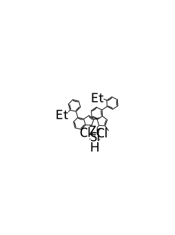 CCc1ccccc1-c1cccc2c1C=C(C)[CH]2[Zr]([Cl])([Cl])([CH]1C(C)=Cc2c(-c3ccccc3CC)cccc21)[SiH](C)C